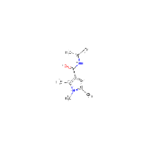 Cc1cc(C(=O)NC(C)C(C)C)c(C)n1C